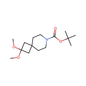 COC1(OC)CC2(CCN(C(=O)OC(C)(C)C)CC2)C1